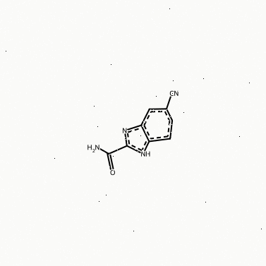 N#Cc1ccc2[nH]c(C(N)=O)nc2c1